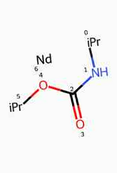 CC(C)NC(=O)OC(C)C.[Nd]